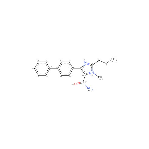 CCCc1nc(-c2ccc(-c3ccccc3)cc2)c(C(N)=O)n1C